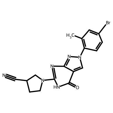 Cc1cc(Br)ccc1-n1cc2c(=O)[nH]c(N3CCC(C#N)C3)nc2n1